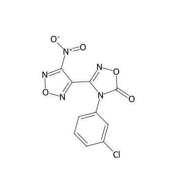 O=c1onc(-c2nonc2[N+](=O)[O-])n1-c1cccc(Cl)c1